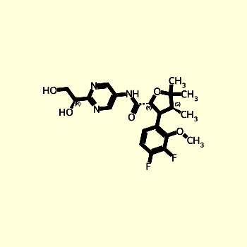 COc1c(C2[C@H](C(=O)Nc3cnc([C@@H](O)CO)nc3)OC(C)(C)[C@H]2C)ccc(F)c1F